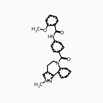 COc1ccccc1C(=O)Nc1ccc(C(=O)N2CCc3cn(C)nc3-c3ccccc32)cc1